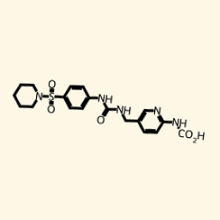 O=C(O)Nc1ccc(CNC(=O)Nc2ccc(S(=O)(=O)N3CCCCC3)cc2)cn1